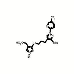 CCCCc1nn(-c2ccc(C(F)(F)F)cn2)cc1CCCOc1nn(CC)cc1CC(=O)O